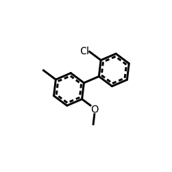 COc1ccc(C)cc1-c1ccccc1Cl